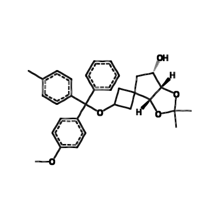 COc1ccc(C(OC2CC3(C2)C[C@H](O)[C@@H]2OC(C)(C)O[C@@H]23)(c2ccccc2)c2ccc(C)cc2)cc1